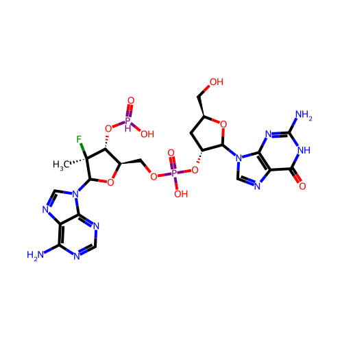 C[C@@]1(F)C(n2cnc3c(N)ncnc32)O[C@H](COP(=O)(O)O[C@@H]2C[C@@H](CO)OC2n2cnc3c(=O)[nH]c(N)nc32)[C@H]1O[PH](=O)O